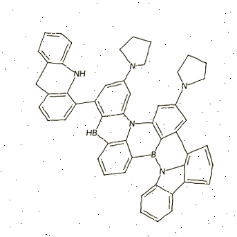 B1c2cccc3c2N(c2cc(N4CCCC4)cc(-c4cccc5c4Nc4ccccc4C5)c21)c1cc(N2CCCC2)cc2c1B3n1c3ccccc3c3cccc-2c31